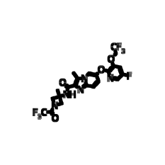 Cc1c(C(=O)NC2(C)CN(C(=O)C(F)(F)F)C2)nc2ccc(Oc3ncc(F)cc3OCC(F)(F)F)cn12